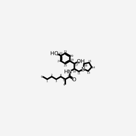 CCCCCC(C)C(=O)NC(CN1CCCC1)C(O)c1ccc(O)cc1